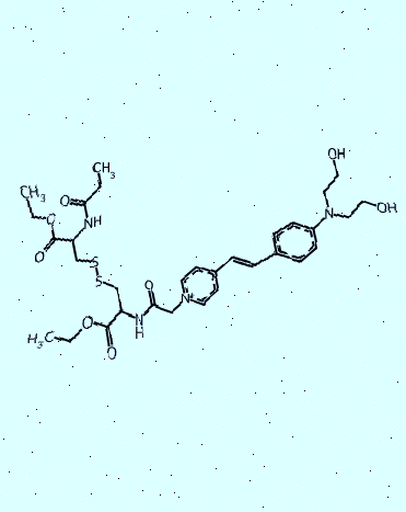 CCOC(=O)C(CSSCC(NC(=O)C[n+]1ccc(/C=C/c2ccc(N(CCO)CCO)cc2)cc1)C(=O)OCC)NC(=O)CC